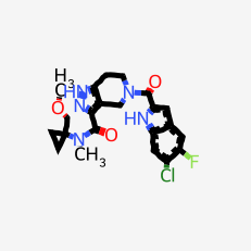 COCC1(N(C)C(=O)c2n[nH]c3c2CN(C(=O)c2cc4cc(F)c(Cl)cc4[nH]2)CC3)CC1